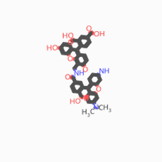 CN(C)c1ccc2c(c1)OC1CC(=N)CCC1=C2c1cc(C(=O)NCc2c3oc4cc(O)ccc4c(-c4ccc(C(=O)O)cc4C(=O)O)c-3ccc2=O)ccc1C(=O)O